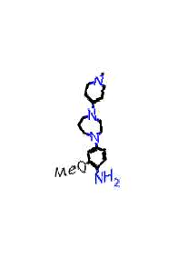 COc1cc(N2CCCN(C3CCN(C)CC3)CC2)ccc1N